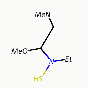 CCN(S)C(CNC)OC